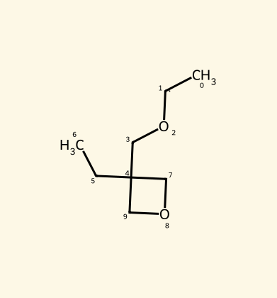 C[CH]OCC1(CC)COC1